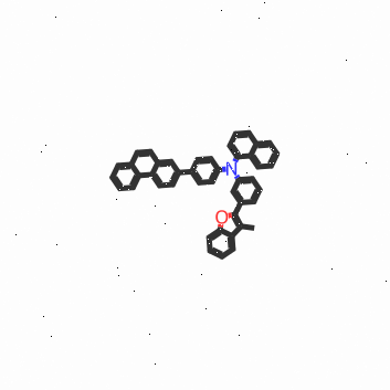 Cc1c(-c2cccc(N(c3ccc(-c4ccc5c(ccc6ccccc65)c4)cc3)c3cccc4ccccc34)c2)oc2ccccc12